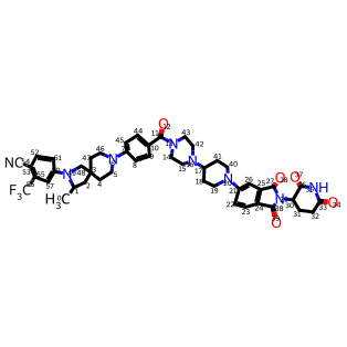 CC1CC2(CCN(c3ccc(C(=O)N4CCN(C5CCN(c6ccc7c(c6)C(=O)N(C6CCC(=O)NC6=O)C7=O)CC5)CC4)cc3)CC2)CN1c1ccc(C#N)c(C(F)(F)F)c1